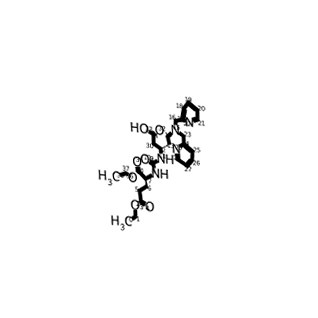 CCOC(=O)CC[C@H](NC(=O)N[C@@H](CCN(Cc1ccccn1)Cc1ccccn1)CC(=O)O)C(=O)OCC